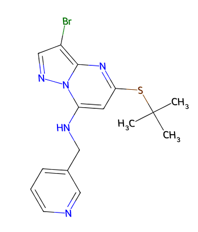 CC(C)(C)Sc1cc(NCc2cccnc2)n2ncc(Br)c2n1